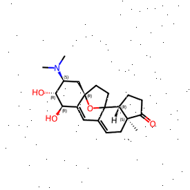 CN(C)[C@H]1C[C@@]23CCC4(O2)C(=CC[C@]2(C)C(=O)CC[C@@H]42)C=C3[C@@H](O)[C@@H]1O